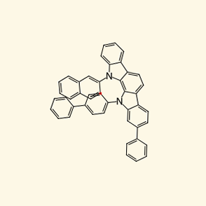 c1ccc(-c2ccc(-n3c4cc(-c5ccccc5)ccc4c4ccc5c6ccccc6n(-c6ccc7ccccc7c6)c5c43)cc2)cc1